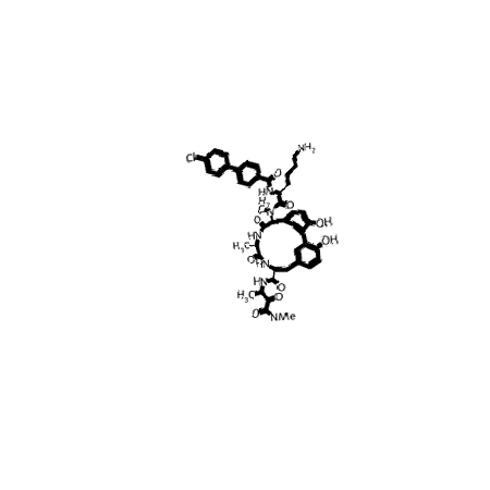 CNC(=O)C(=O)C(C)NC(=O)[C@@H]1Cc2ccc(O)c(c2)-c2cc(ccc2O)[C@H](N(C)C(=O)[C@H](CCCCN)NC(=O)c2ccc(-c3ccc(Cl)cc3)cc2)C(=O)N[C@@H](C)C(=O)N1